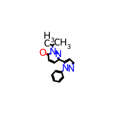 CC(C)n1nc(-c2ccnn2-c2ccccc2)ccc1=O